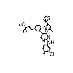 CCOC(=O)/C=C/c1cccc(-c2cnc(Nc3ccc(F)c(Cl)c3)nc2-n2nc(-c3nccs3)cc2C)c1